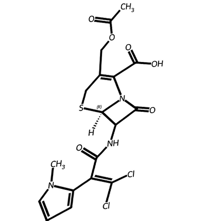 CC(=O)OCC1=C(C(=O)O)N2C(=O)C(NC(=O)C(=C(Cl)Cl)c3cccn3C)[C@H]2SC1